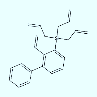 C=CC[Si](CC=C)(CC=C)c1cccc(-c2ccccc2)c1C=C